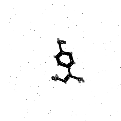 COc1ccc(/C(C)=C\[N+](=O)[O-])cc1